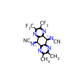 Cc1nc2c(nc1C)/C(=N\C#N)c1nc(C(F)(F)F)c(C(F)(F)F)nc1/C2=N\C#N